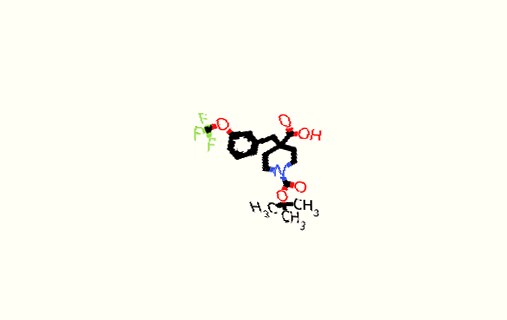 CC(C)(C)OC(=O)N1CCC(Cc2cccc(OC(F)(F)F)c2)(C(=O)O)CC1